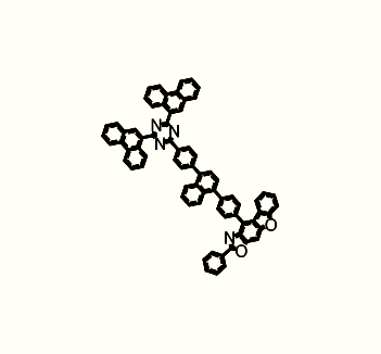 c1ccc(-c2nc3c(-c4ccc(-c5ccc(-c6ccc(-c7nc(-c8cc9ccccc9c9ccccc89)nc(-c8cc9ccccc9c9ccccc89)n7)cc6)c6ccccc56)cc4)c4c(cc3o2)oc2ccccc24)cc1